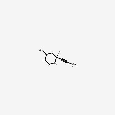 CC(C)(C)C#C[C@@]1(C)SCCC(C(C)(C)C)S1